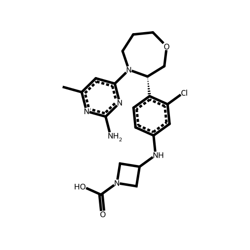 Cc1cc(N2CCCOC[C@@H]2c2ccc(NC3CN(C(=O)O)C3)cc2Cl)nc(N)n1